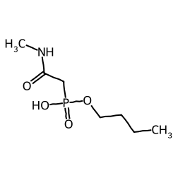 CCCCOP(=O)(O)CC(=O)NC